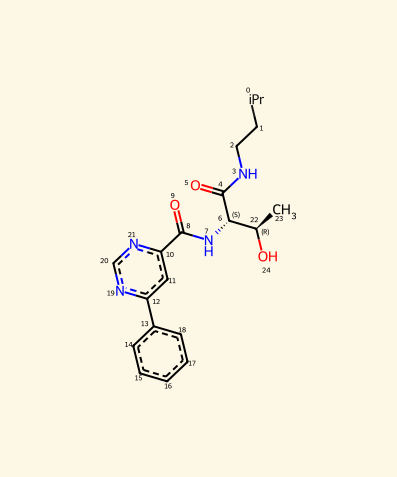 CC(C)CCNC(=O)[C@@H](NC(=O)c1cc(-c2ccccc2)ncn1)[C@@H](C)O